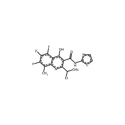 CCC(OC(C)=O)c1nc2c(C)c(F)c(F)c(F)c2c(O)c1C(=O)Nc1nccs1